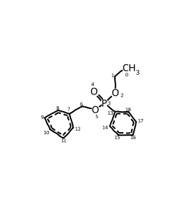 CCOP(=O)(OCc1ccccc1)c1ccccc1